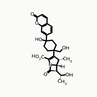 C[C@@H](O)[C@H]1C(=O)N2C(C(=O)O)=C(C3(CO)CCC(O)(c4ccc5ccc(=O)oc5c4)CC3)[C@H](C)[C@H]12